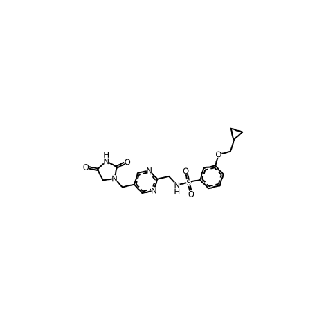 O=C1CN(Cc2cnc(CNS(=O)(=O)c3cccc(OCC4CC4)c3)nc2)C(=O)N1